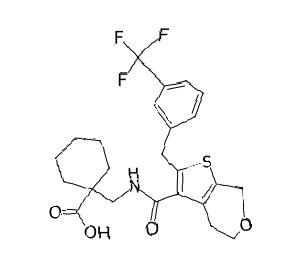 O=C(NCC1(C(=O)O)CCCCC1)c1c(Cc2cccc(C(F)(F)F)c2)sc2c1CCOC2